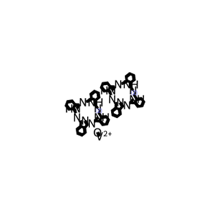 [O]=[V+2].c1ccc2c(c1)C1=NC2=Nc2[nH]c(c3ccccc23)[N-]c2[nH]c(c3ccccc23)/N=c2\[nH]c(c3ccccc23)=N1.c1ccc2c(c1)C1=NC2=Nc2[nH]c(c3ccccc23)[N-]c2[nH]c(c3ccccc23)/N=c2\[nH]c(c3ccccc23)=N1